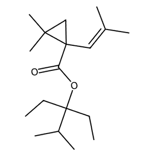 CCC(CC)(OC(=O)C1(C=C(C)C)CC1(C)C)C(C)C